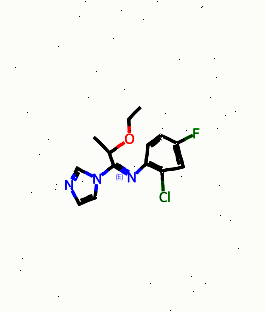 CCOC(C)/C(=N\c1ccc(F)cc1Cl)n1ccnc1